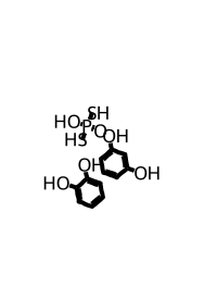 O=P(O)(S)S.Oc1cccc(O)c1.Oc1ccccc1O